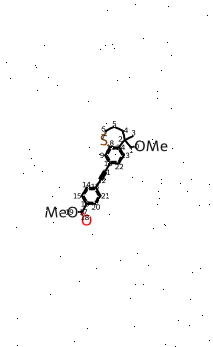 COCC1(C)CCCSc2cc(C#Cc3ccc(C(=O)OC)cc3)ccc21